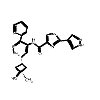 C[C@]1(O)C[C@H](C/C=C(NC(=O)c2csc(-c3cn[nH]c3)n2)\C(=N/N)c2ccccn2)C1